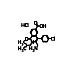 CC(C)Cn1c(CN)c(-c2ccc(Cl)cc2)c2cc(C(=O)O)ccc2c1=O.Cl